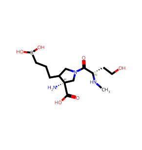 CN[C@@H](CCO)C(=O)N1CC(CCCB(O)O)[C@](N)(C(=O)O)C1